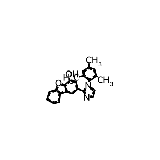 Cc1cc(C)c(-n2ccnc2-c2cc(O)c3oc4ccccc4c3c2)c(C)c1